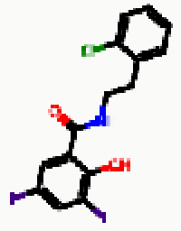 O=C(NCCc1ccccc1Cl)c1cc(I)cc(I)c1O